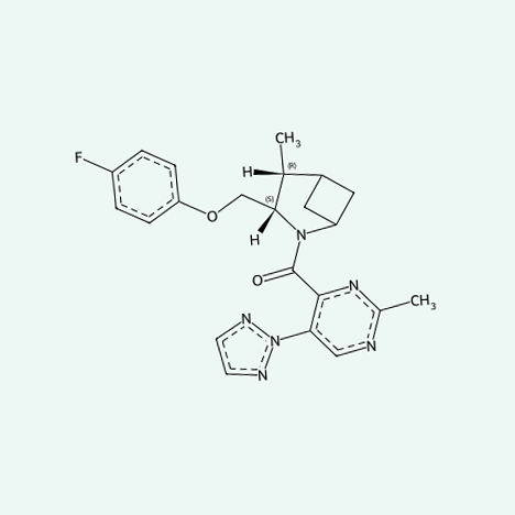 Cc1ncc(-n2nccn2)c(C(=O)N2C3CC(C3)[C@@H](C)[C@H]2COc2ccc(F)cc2)n1